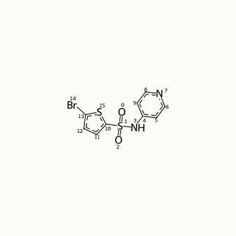 O=S(=O)(Nc1ccncc1)c1ccc(Br)s1